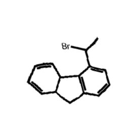 CC(Br)c1cccc2c1C1C=CC=CC1C2